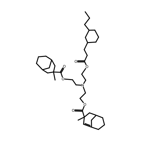 CCCC1CCCC(CCC(=O)OCCN(CCOC(=O)C2(C)C=C3CCCC(C3)C2)CCOC(=O)C2(C)CC3CCCC(C3)C2)C1